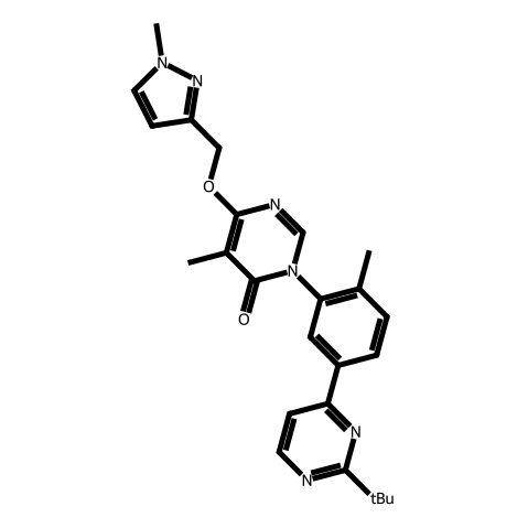 Cc1ccc(-c2ccnc(C(C)(C)C)n2)cc1-n1cnc(OCc2ccn(C)n2)c(C)c1=O